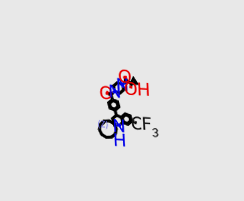 O=C(c1ccc(C2CC3(C/C=C\CCCCCC3)Nc3cc(C(F)(F)F)ccc32)cc1)N1CCN(C(=O)C2(O)CC2)CC1